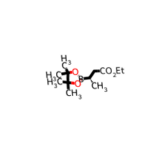 CCOC(=O)C[C@H](C)B1OC(C)(C)C(C)(C)O1